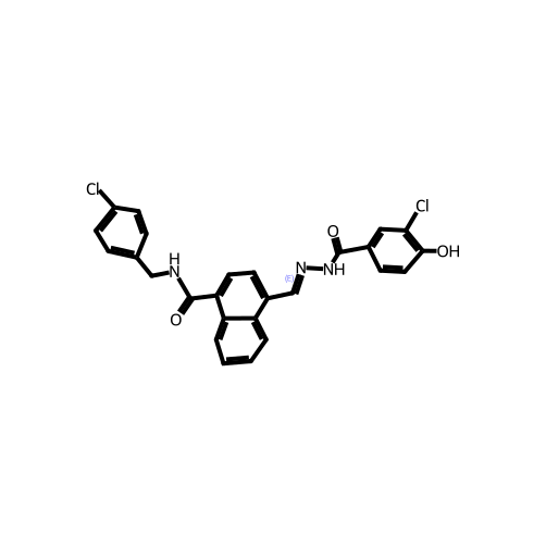 O=C(N/N=C/c1ccc(C(=O)NCc2ccc(Cl)cc2)c2ccccc12)c1ccc(O)c(Cl)c1